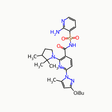 Cc1cc(OCC(C)C)nn1-c1ccc(C(=O)NS(=O)(=O)c2cccnc2N)c(N2CCC(C)C2(C)C)n1